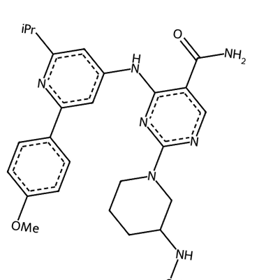 COc1ccc(-c2cc(Nc3nc(N4CCCC(NC(=O)O)C4)ncc3C(N)=O)cc(C(C)C)n2)cc1